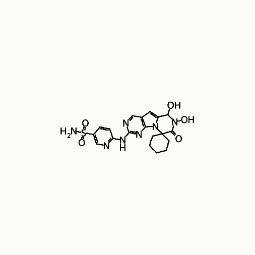 NS(=O)(=O)c1ccc(Nc2ncc3cc4n(c3n2)C2(CCCCC2)C(=O)N(O)C4O)nc1